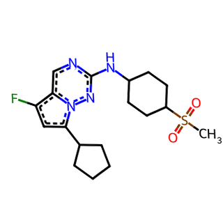 CS(=O)(=O)C1CCC(Nc2ncc3c(F)cc(C4CCCC4)n3n2)CC1